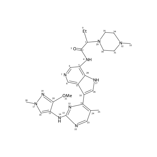 CCC(C(=O)Nc1cncc2c(-c3nc(Nc4cn(C)nc4OC)ncc3C)c[nH]c12)N1CCN(C)CC1